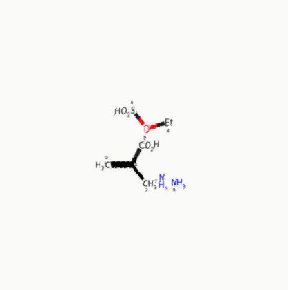 C=C(C)C(=O)O.CCOS(=O)(=O)O.N.N